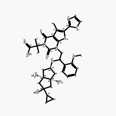 COc1ccccc1C(Cn1c(=O)n(C(C)(C)C(=O)O)c(=S)c2c(C)c(-c3nccs3)sc21)O[C@H]1C[C@@]2(N)CC(O)(C3CC3)C[C@@]2(N)C1